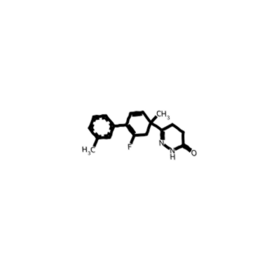 Cc1cccc(C2=C(F)CC(C)(C3=NNC(=O)CC3)C=C2)c1